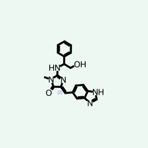 CN1C(=O)/C(=C/c2ccc3[nH]cnc3c2)N=C1NC(CO)c1ccccc1